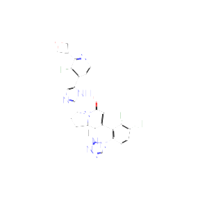 O=C1C=C(c2c(-n3cnnn3)ccc(Cl)c2F)C[C@@H]2CC[C@H](c3ncc(-c4ccnc(C5COC5)c4F)[nH]3)N12